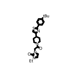 CCn1ccn(CC(=O)N2CCC(c3csc(-c4ccc(C(C)(C)C)cc4)n3)CC2)c1=O